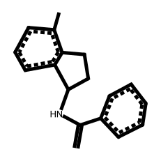 C=C(NC1CCc2c(C)cccc21)c1ccccc1